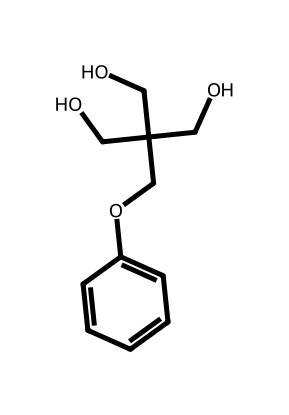 OCC(CO)(CO)COc1ccccc1